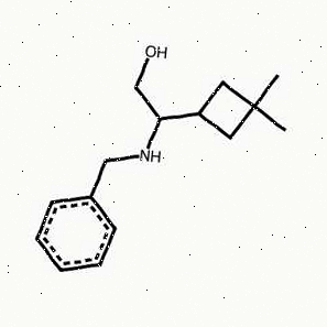 CC1(C)CC(C(CO)NCc2ccccc2)C1